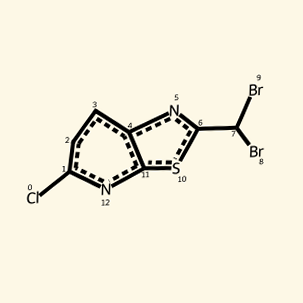 Clc1ccc2nc(C(Br)Br)sc2n1